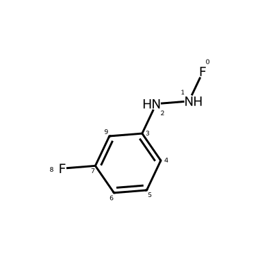 FNNc1cccc(F)c1